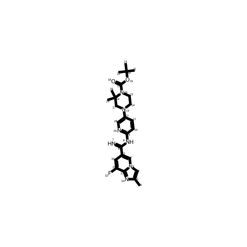 Cc1cn2cc(C(=N)Nc3ccc(N4CCN(C(=O)OC(C)(C)C)C(C)(C)C4)cn3)cc(F)c2n1